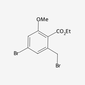 CCOC(=O)c1c(CBr)cc(Br)cc1OC